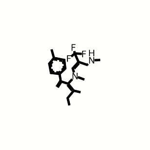 C=C(/C(=C(/C)CC)N(C)/C=C(\CNC)C(F)(F)F)c1ccc(C)cc1